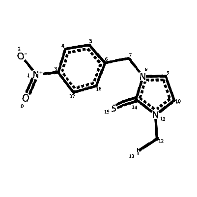 O=[N+]([O-])c1ccc(Cn2ccn(CI)c2=S)cc1